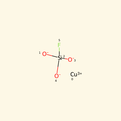 [Cu+3].[O-][Si]([O-])([O-])F